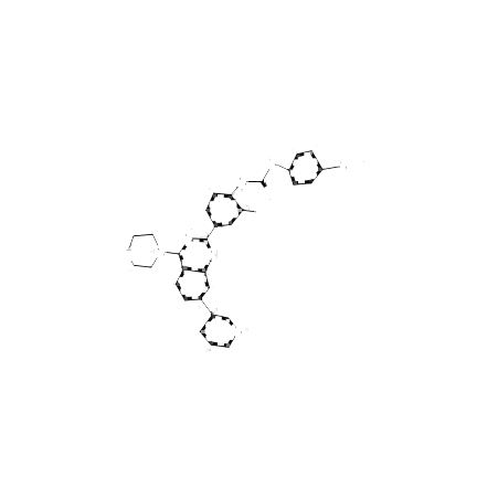 CC(=O)Nc1ccc(NC(=O)Nc2ccc(-c3nc(N4CCOCC4)c4ccc(-c5cccnc5)cc4n3)cc2F)cc1